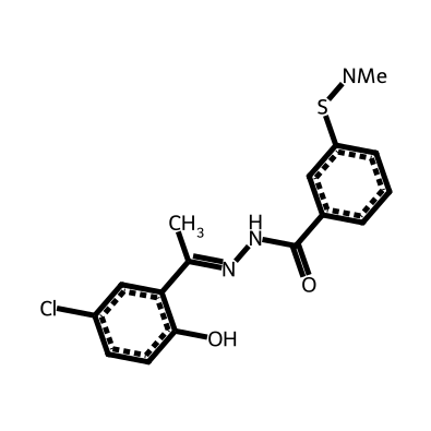 CNSc1cccc(C(=O)N/N=C(\C)c2cc(Cl)ccc2O)c1